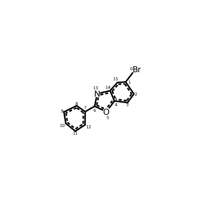 Brc1ccc2oc(-c3c[c]ccc3)nc2c1